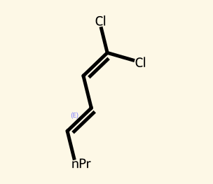 CCC/C=C/C=C(Cl)Cl